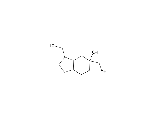 CC1(CO)CCC2CCC(CO)C2C1